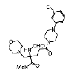 CNC(=O)C(CCC(=O)N1CCN(c2cccc(Cl)c2)CC1)(CN1CCOCC1)NC=O